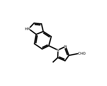 Cc1cc(C=O)nn1-c1ccc2[nH]ccc2c1